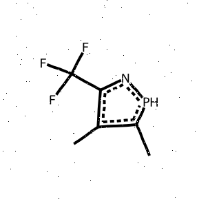 Cc1[pH]nc(C(F)(F)F)c1C